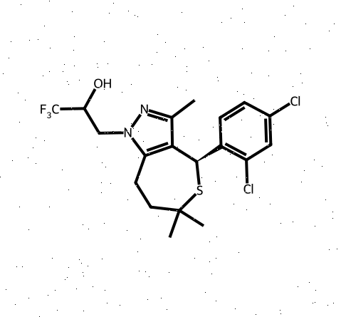 Cc1nn(CC(O)C(F)(F)F)c2c1[C@@H](c1ccc(Cl)cc1Cl)SC(C)(C)CC2